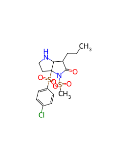 CCCC1C(=O)N(S(C)(=O)=O)C2(S(=O)(=O)c3ccc(Cl)cc3)CCNC12